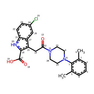 Cc1cccc(C)c1N1CCN(C(=O)Cc2c(C(=O)O)[nH]c3ccc(Cl)cc23)CC1